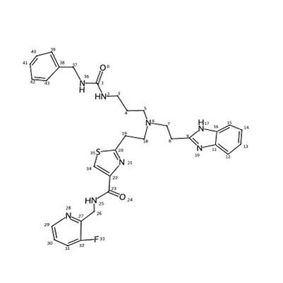 O=C(NCCCN(CCc1nc2ccccc2[nH]1)CCc1nc(C(=O)NCc2ncccc2F)cs1)NCc1ccccc1